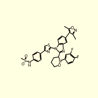 Cc1noc(C)c1-c1ccc2c(c1)nc(C1CCCON1c1ccc(F)c(F)c1)n2-c1nc(-c2ccc(NS(C)(=O)=O)cc2)cs1